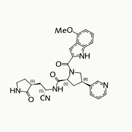 COc1cccc2[nH]c(C(=O)N3C[C@@H](c4cccnc4)C[C@H]3C(=O)N[C@H](C#N)C[C@@H]3CCNC3=O)cc12